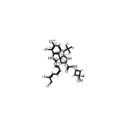 C=C(/C=C\C=C(\F)CF)[C@H]1[C@H](C(=O)N[C@H]2C[C@@](C)(O)C2)N[C@H](CC(C)(C)C)[C@]12C(=O)Nc1c2ccc(Cl)c1F